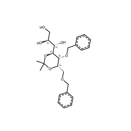 CC1(C)O[C@@H]([C@@H](O)[C@@H](O)CO)[C@H](OCc2ccccc2)[C@H](COCc2ccccc2)O1